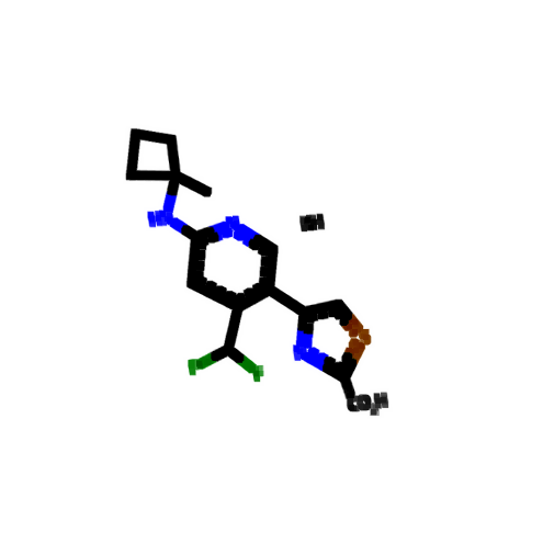 CC1(Nc2cc(C(F)F)c(-c3csc(C(=O)O)n3)cn2)CCC1.[KH]